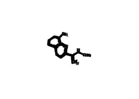 C=C(NC=O)c1ccc2cccc(O)c2n1